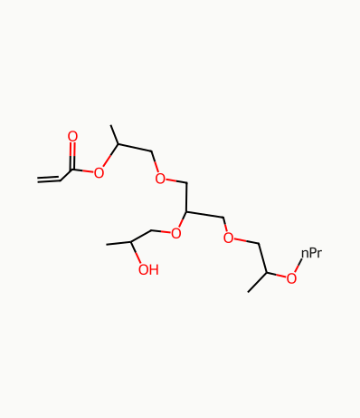 C=CC(=O)OC(C)COCC(COCC(C)OCCC)OCC(C)O